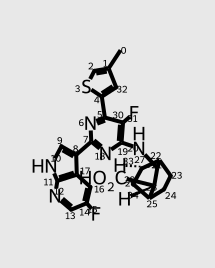 Cc1csc(-c2nc(-c3c[nH]c4ncc(F)cc34)nc(N[C@H]3C4CCC(CC4)[C@@H]3C(=O)O)c2F)c1